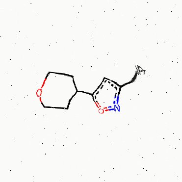 CC(C)c1cc(C2CCOCC2)on1